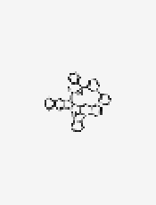 c1ccc(-c2cccc(-c3nc(-n4c5cc6ccccc6cc5c5c4c4cc6ccccc6c6c7ccccc7n5c46)nc4ccccc34)c2)cc1